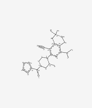 CC(C)c1nc(N2CCN(C(=O)c3ccco3)CC2C)c(C#N)c2c1COC(C)(C)C2